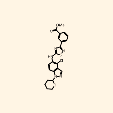 COC(=O)c1cccc(-c2nsc(Nc3ccc4c(cnn4C4CCCCO4)c3Cl)n2)c1